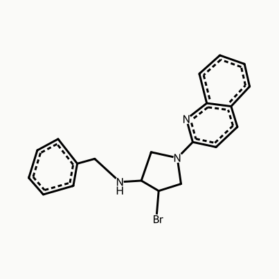 BrC1CN(c2ccc3ccccc3n2)CC1NCc1ccccc1